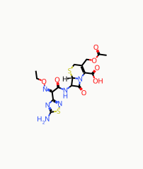 CCO/N=C(\C(=O)NC1C(=O)N2C(C(=O)O)=C(COC(C)=O)CS[C@@H]12)c1nsc(N)n1